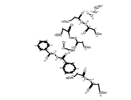 CC(C)(C)O[O-].CCCCCCCCCCCC(=O)OOC(=O)CCCCCCCCCCC.CCCCCCCCCCCC(=O)OOC(=O)CCCCCCCCCCC.CCCCCCCCCCCC(=O)OOC(=O)CCCCCCCCCCC.O=C(OOC(=O)c1ccccc1)c1ccccc1.[Na+].[Na+].[Na+].[O-][O-]